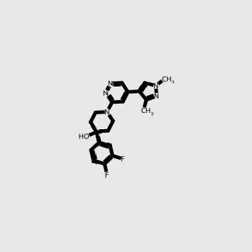 Cc1nn(C)cc1-c1cnnc(N2CCC(O)(c3ccc(F)c(F)c3)CC2)c1